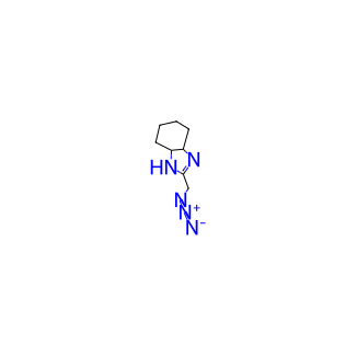 [N-]=[N+]=NCC1=NC2CCCCC2N1